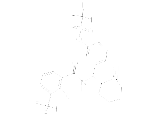 CN1CCCCC1C(NC(=O)c1cccc(C(F)(F)F)c1Cl)c1cccc(OS(=O)(=O)C(F)(F)F)c1